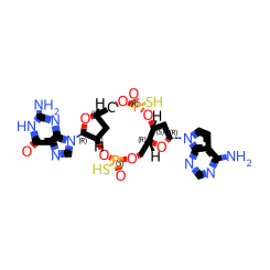 Nc1nc2c(ncn2[C@@H]2O[C@@H]3CO[P@@](=O)(S)O[C@H]4C[C@H](n5ccc6c(N)ncnc65)O[C@@H]4CO[P@](=O)(S)O[C@@H]2C3)c(=O)[nH]1